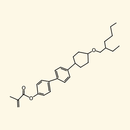 C=C(C)C(=O)Oc1ccc(-c2ccc(C3CCC(OCC(CC)CCCC)CC3)cc2)cc1